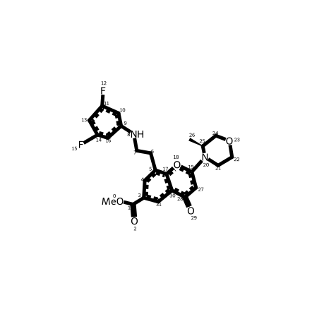 COC(=O)c1cc(CCNc2cc(F)cc(F)c2)c2oc(N3CCOC[C@@H]3C)cc(=O)c2c1